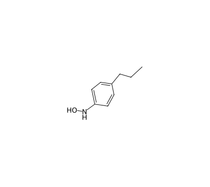 CCCc1ccc(NO)cc1